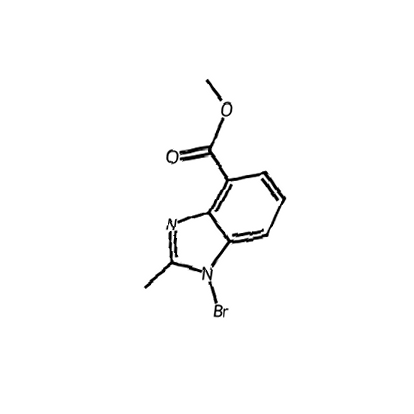 COC(=O)c1cccc2c1nc(C)n2Br